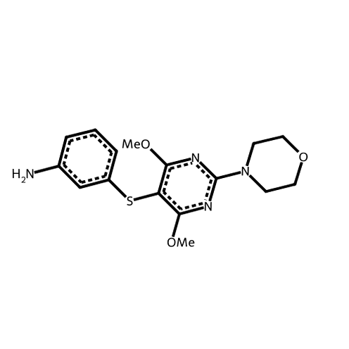 COc1nc(N2CCOCC2)nc(OC)c1Sc1cccc(N)c1